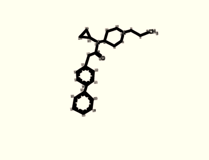 CCCN1CCC(N(C(=O)Cc2ccc(-c3ccccc3)cc2)C2CC2)CC1